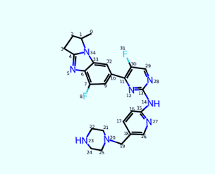 CC1CCc2nc3c(F)cc(-c4nc(Nc5ccc(CN6CCNCC6)cn5)ncc4F)cc3n21